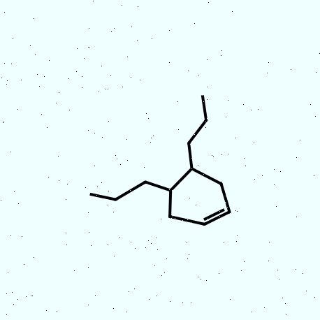 CCCC1CC=CCC1CCC